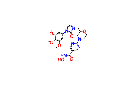 COc1cc(-n2ccn(CC3CN(c4ncc(C(=O)NO)cn4)CCO3)c2=O)cc(OC)c1OC